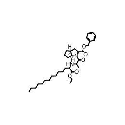 CCCCCCCCCCCCC(NC(C)C(=O)N1[C@H](C(=O)OCc2ccccc2)C[C@@H]2CCC[C@@H]21)C(=O)OCC